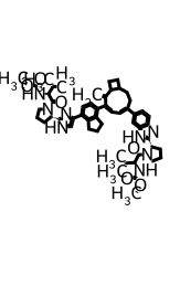 C=C1/C(c2ccc(-c3c[nH]c([C@@H]4CCCN4C(=O)[C@@H](NC(=O)OC)C(C)C)n3)c3c2CCC3)=C\C=C(\c2ccc3nc([C@@H]4CCCN4C(=O)[C@@H](NC(=O)OC)C(C)C)[nH]c3c2)CCC2CCC12